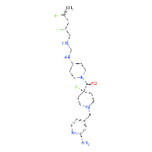 C=C(F)CC(F)CNCNC1CCN(C(=O)C2(F)CCN(Cc3ccnc(N)c3)CC2)CC1